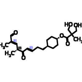 C/C(C=O)=C\[C@@H](C)C(=O)/C=C/CC[C@H]1CC[C@H](OC(=O)C(C)(CO)CO)CC1